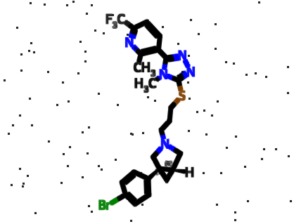 Cc1nc(C(F)(F)F)ccc1-c1nnc(SCCCN2C[C@@H]3C[C@]3(c3ccc(Br)cc3)C2)n1C